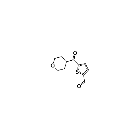 O=Cc1ccc(C(=O)C2CCOCC2)s1